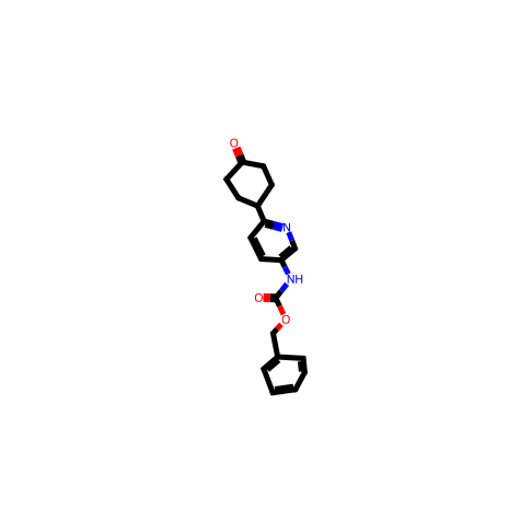 O=C1CCC(c2ccc(NC(=O)OCc3ccccc3)cn2)CC1